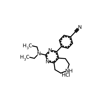 CCN(CC)c1nc2c(c(-c3ccc(C#N)cc3)n1)CCNCC2.Cl